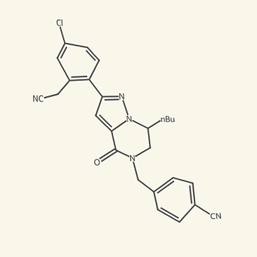 CCCCC1CN(Cc2ccc(C#N)cc2)C(=O)c2cc(-c3ccc(Cl)cc3CC#N)nn21